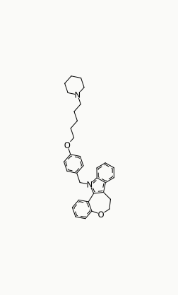 c1ccc2c(c1)OCCc1c-2n(Cc2ccc(OCCCCCN3CCCCC3)cc2)c2ccccc12